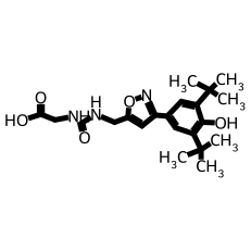 CC(C)(C)c1cc(-c2cc(CNC(=O)NCC(=O)O)on2)cc(C(C)(C)C)c1O